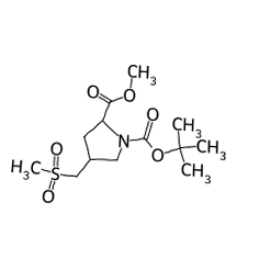 COC(=O)C1CC(CS(C)(=O)=O)CN1C(=O)OC(C)(C)C